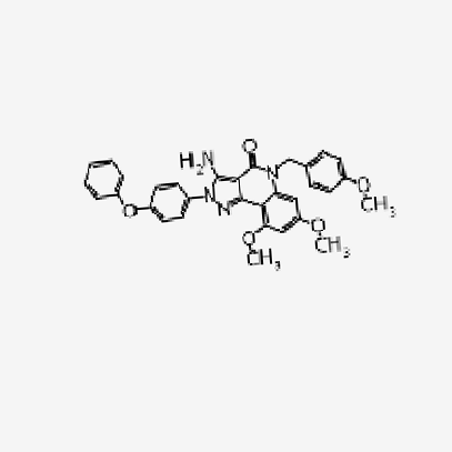 COc1ccc(Cn2c(=O)c3c(N)n(-c4ccc(Oc5ccccc5)cc4)nc3c3c(OC)cc(OC)cc32)cc1